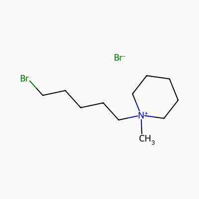 C[N+]1(CCCCCBr)CCCCC1.[Br-]